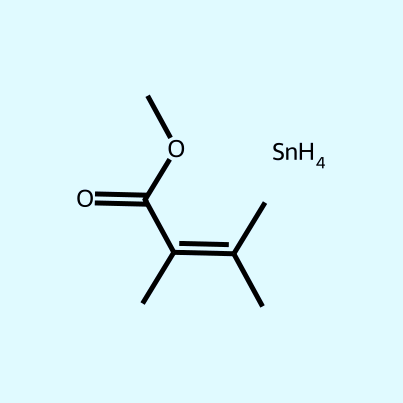 COC(=O)C(C)=C(C)C.[SnH4]